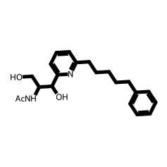 CC(=O)NC(CO)C(O)c1cccc(CCCCCc2ccccc2)n1